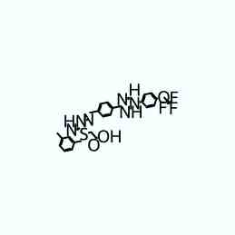 Cc1cccc(C)c1/N=C(/N/N=C/c1ccc(C(=N)/N=C\Nc2ccc(OC(F)(F)F)cc2)cc1)SCC(=O)O